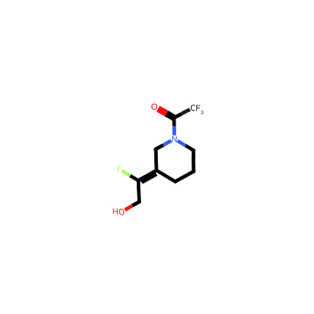 O=C(N1CCC/C(=C(/F)CO)C1)C(F)(F)F